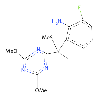 COc1nc(OC)nc(C(C)(SC)c2cccc(F)c2N)n1